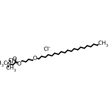 CCCCCCCCCCCCCCCCCCCCOCCCCOC(=O)C[N+](C)(C)C.[Cl-]